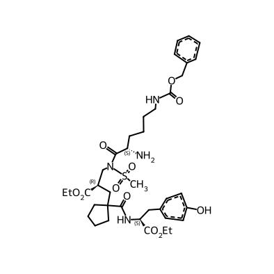 CCOC(=O)[C@@H](CN(C(=O)[C@@H](N)CCCCNC(=O)OCc1ccccc1)S(C)(=O)=O)CC1(C(=O)N[C@@H](Cc2ccc(O)cc2)C(=O)OCC)CCCC1